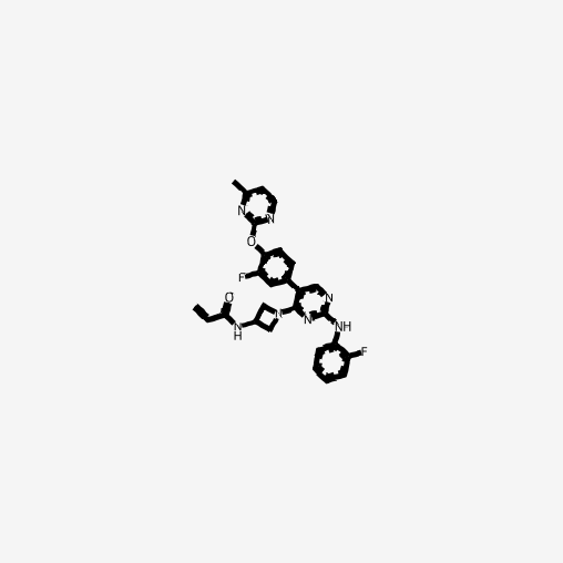 C=CC(=O)NC1CN(c2nc(Nc3ccccc3F)ncc2-c2ccc(Oc3nccc(C)n3)c(F)c2)C1